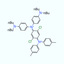 CCCCN(CCCC)c1ccc([N+](=C2C=C(Cl)C(=[N+](c3ccc(C)cc3)c3ccc(C)cc3)C=C2Cl)c2ccc(N(CCCC)CCCC)cc2)cc1